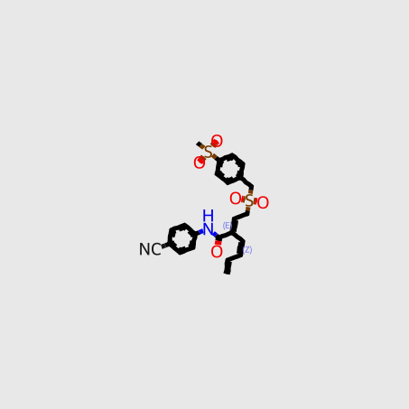 C=C/C=C\C(=C/CS(=O)(=O)Cc1ccc(S(C)(=O)=O)cc1)C(=O)Nc1ccc(C#N)cc1